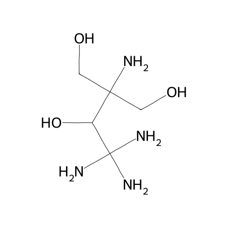 NC(N)(N)C(O)C(N)(CO)CO